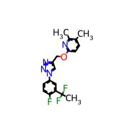 Cc1ccc(OCc2cn(-c3ccc(F)c(C(C)(F)F)c3)nn2)nc1C